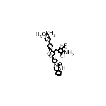 CC(C)N1CCN(C2CCN(C(=O)C(CC(=O)N3CCC(N4CCc5ccccc5NC4=O)CC3)Cc3cc(Cl)c(N)c(C(F)(F)F)c3)CC2)CC1